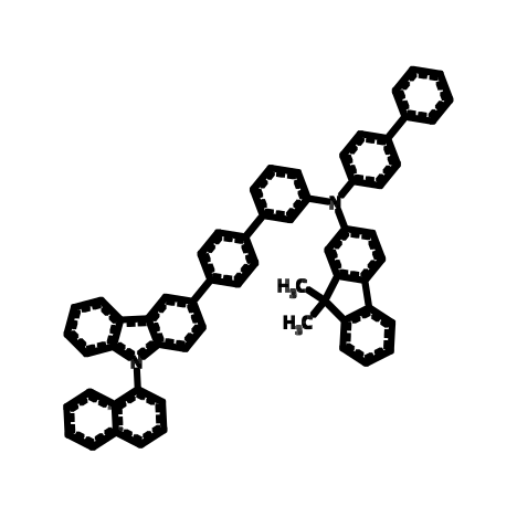 CC1(C)c2ccccc2-c2ccc(N(c3ccc(-c4ccccc4)cc3)c3cccc(-c4ccc(-c5ccc6c(c5)c5ccccc5n6-c5cccc6ccccc56)cc4)c3)cc21